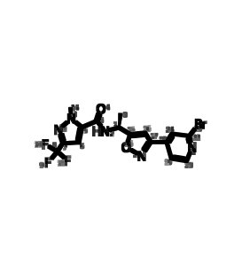 C[C@H](NC(=O)c1cc(C(F)(F)F)nn1C)c1cc(-c2ccnc(Br)c2)no1